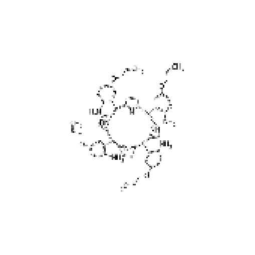 C=CCOc1ccc(N)c(-c2c3nc(c(-c4cc(OCC=C)ccc4N)c4ccc([nH]4)c(-c4cc(OCC=C)ccc4N)c4nc(c(-c5cc(OCC=C)ccc5N)c5ccc2[nH]5)C=C4)C=C3)c1